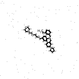 COc1cccc(CN(Cc2cccc(N3CCCC3)c2)c2ccc(COCCOCCN3CCOCC3)cc2)c1